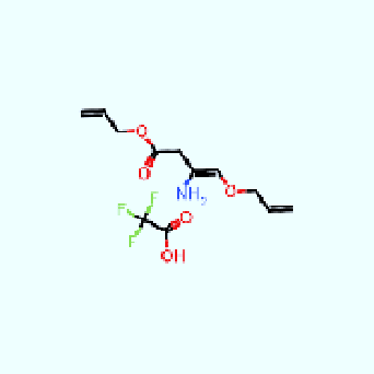 C=CCOC=C(N)CC(=O)OCC=C.O=C(O)C(F)(F)F